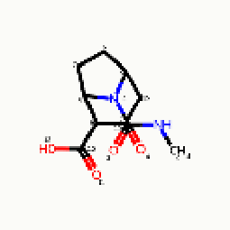 CNC(=O)N1C2CCC1C(C(=O)O)C(=O)C2